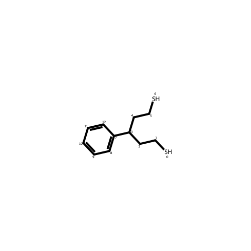 SCCC(CCS)c1ccccc1